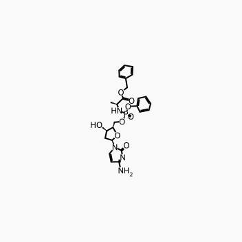 C[C@H](NP(=O)(OC[C@H]1O[C@@H](n2ccc(N)nc2=O)C[C@H]1O)Oc1ccccc1)C(=O)OCc1ccccc1